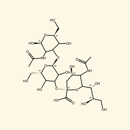 CC(=O)NC1C([C@H](O)[C@H](O)CO)O[C@@](OC2C(O)[C@H](OC3C(O)[C@H](CO)O[C@H](O)C3NC(C)=O)O[C@@H](CO)C2O)(C(=O)O)C[C@H]1O